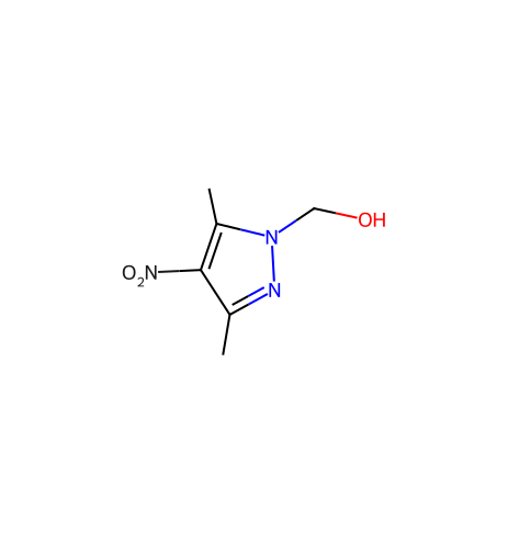 Cc1nn(CO)c(C)c1[N+](=O)[O-]